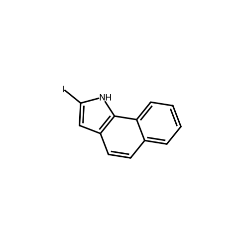 Ic1cc2ccc3ccccc3c2[nH]1